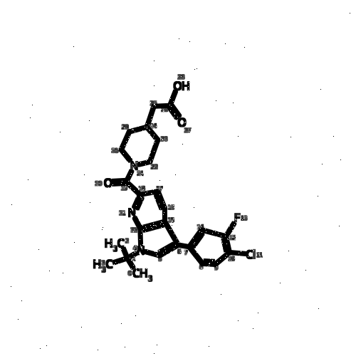 CC(C)(C)n1cc(-c2ccc(Cl)c(F)c2)c2ccc(C(=O)N3CCC(CC(=O)O)CC3)nc21